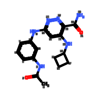 CC(=O)Nc1cccc(Nc2cc(NC3CCC3)c(C(N)=O)nn2)c1